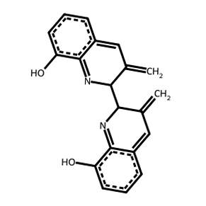 C=C1C=c2cccc(O)c2=NC1C1N=c2c(O)cccc2=CC1=C